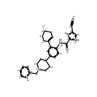 C[C@@H]1CC=C(c2cc(C3CCN(Cc4ccccn4)CC3)ccc2NC(=O)c2nc(C#N)c[nH]2)CC1